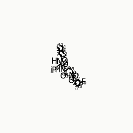 CC(C)CC(NC(=O)c1cc2sccc2s1)C(=O)N[C@H]1CCCN(S(=O)(=O)c2cccc(F)c2)CC1=O